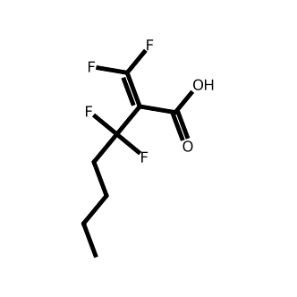 CCCCC(F)(F)C(C(=O)O)=C(F)F